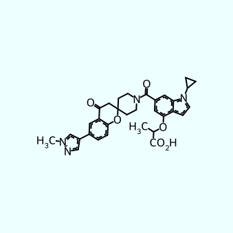 CC(Oc1cc(C(=O)N2CCC3(CC2)CC(=O)c2cc(-c4cnn(C)c4)ccc2O3)cc2c1ccn2C1CC1)C(=O)O